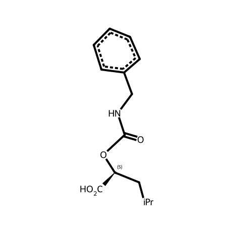 CC(C)C[C@H](OC(=O)NCc1ccccc1)C(=O)O